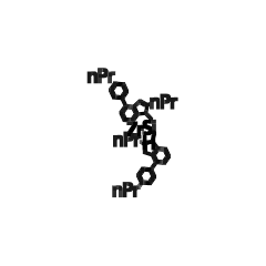 CCCC1=Cc2c(-c3ccc(CCC)cc3)cccc2C1C[SiH]([Zr])CC1C(CCC)=Cc2c(-c3ccc(CCC)cc3)cccc21